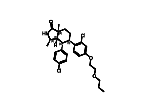 CCCOCCOc1ccc([C@@H]2CC[C@@]3(C)C(=O)N[C@H](C)[C@H]3[C@H]2c2ccc(Cl)cc2)c(Cl)c1